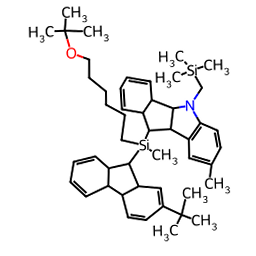 Cc1ccc2c(c1)C1C(C3C=CC=CC3C1[Si](C)(CCCCCCOC(C)(C)C)C1C3C=CC=CC3C3C=CC(C(C)(C)C)=CC31)N2C[Si](C)(C)C